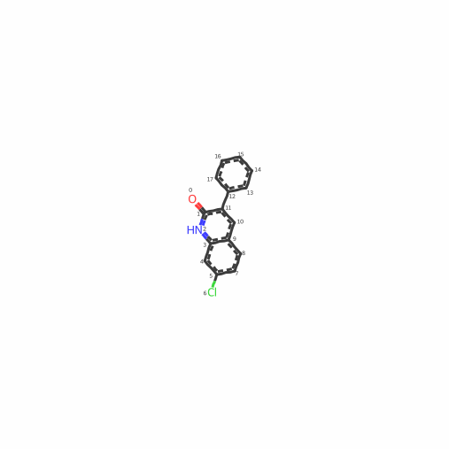 O=c1[nH]c2cc(Cl)ccc2cc1-c1ccccc1